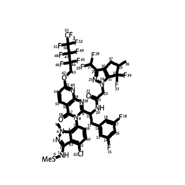 CSNc1nn(C)c2c(-n3c(C(Cc4cc(F)cc(F)c4)NC(=O)Cn4nc(C(F)F)c5c4C(F)(F)C(C)C5)nc4nc(OCC(F)(F)C(F)(F)C(F)(F)C(F)(F)F)ccc4c3=O)ccc(Cl)c12